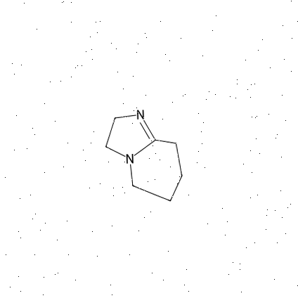 C1CCN2CCN=C2C1